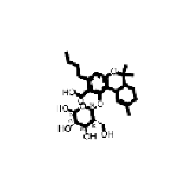 CCCCc1cc2c(c(O[C@H]3O[C@H](O)[C@@H](O)[C@H](O)[C@H]3CO)c1C(=O)O)C1C=C(C)CCC1C(C)(C)O2